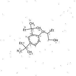 CCC(CO)Oc1ccc(C(C)(C)CC)cc1C(C)(C)CC